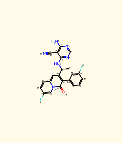 C[C@H](Nc1ncnc(N)c1C#N)c1cc2ccc(F)cn2c(=O)c1-c1cccc(F)c1